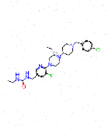 CCNC(=O)NCc1cnc(N2CCN(C3CCN(Cc4ccc(Cl)cc4)CC3)[C@@H](CC)C2)c(Cl)c1